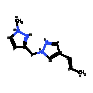 C/C=C/c1cnn(Cc2ccn(C)n2)c1